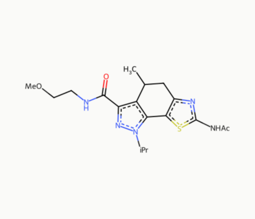 COCCNC(=O)c1nn(C(C)C)c2c1C(C)Cc1nc(NC(C)=O)sc1-2